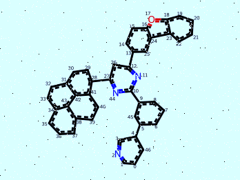 c1cncc(-c2cccc(-c3nc(-c4ccc5oc6ccccc6c5c4)cc(-c4ccc5ccc6cccc7ccc4c5c67)n3)c2)c1